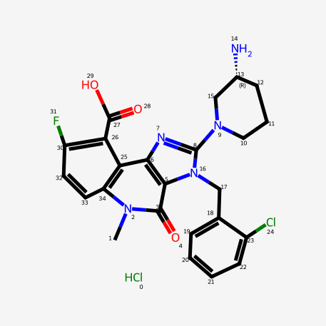 Cl.Cn1c(=O)c2c(nc(N3CCC[C@@H](N)C3)n2Cc2ccccc2Cl)c2c(C(=O)O)c(F)ccc21